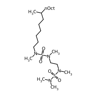 CCCCCCCCC(C)CCCCCCN(C)S(=O)(=O)N(C)CCN(C)S(=O)(=O)N(C)C